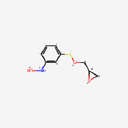 ONc1cccc(SOCC2CO2)c1